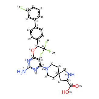 Nc1nc(OC(c2ccc(-c3cccc(F)c3)cc2)C(F)(F)F)cc(N2CCC3(CC2)CNC(C(=O)O)C3)n1